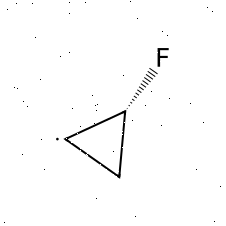 F[C@H]1[CH]C1